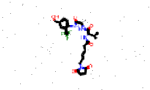 CC(C)[C@H](NC(=O)CCCCCN1C(=O)C=CC1=O)C(=O)N[C@@H](C)C(=O)Nc1ccc(CO)cc1C(F)(F)F